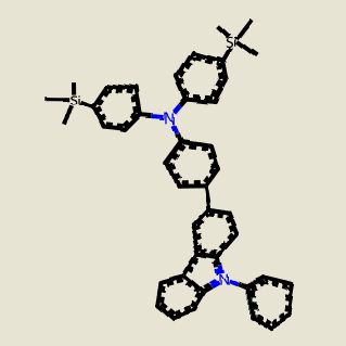 C[Si](C)(C)c1ccc(N(c2ccc(-c3ccc4c(c3)c3ccccc3n4-c3ccccc3)cc2)c2ccc([Si](C)(C)C)cc2)cc1